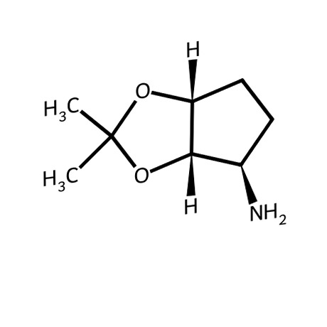 CC1(C)O[C@H]2[C@H](N)CC[C@H]2O1